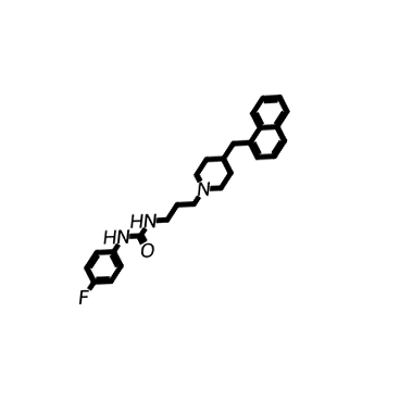 O=C(NCCCN1CCC(Cc2cccc3ccccc23)CC1)Nc1ccc(F)cc1